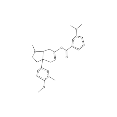 COc1ccc(C23CC=C(OC(=O)c4cccc(N(C)C)c4)CC2N(C)CC3)cc1C